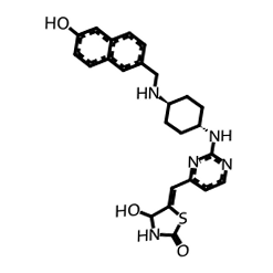 O=C1NC(O)/C(=C/c2ccnc(N[C@H]3CC[C@H](NCc4ccc5cc(O)ccc5c4)CC3)n2)S1